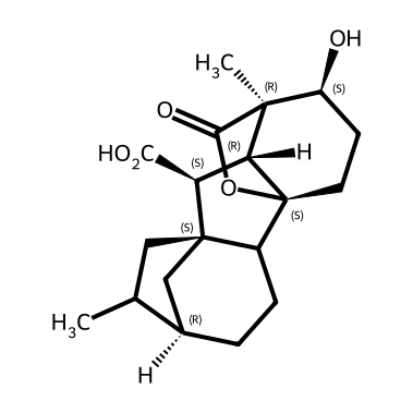 CC1C[C@]23C[C@H]1CCC2[C@]12CC[C@H](O)[C@](C)(C(=O)O1)[C@H]2[C@@H]3C(=O)O